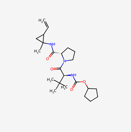 C=CC1CC1(C)NC(=O)[C@@H]1CCCN1C(=O)[C@@H](NC(=O)OC1CCCC1)C(C)(C)C